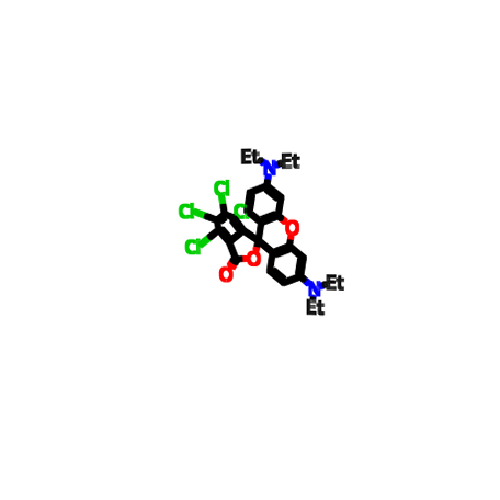 CCN(CC)c1ccc2c(c1)Oc1cc(N(CC)CC)ccc1C21OC(=O)c2c(Cl)c(Cl)c(Cl)c(Cl)c21